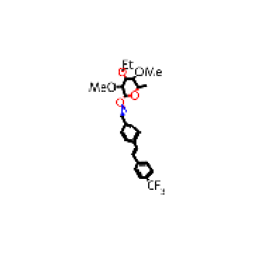 CCOC1C(OC)C(C)O[C@@H](ON=Cc2ccc(/C=C/c3ccc(C(F)(F)F)cc3)cc2)C1OC